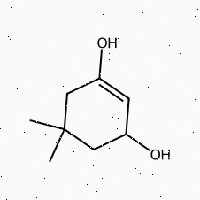 CC1(C)CC(O)=CC(O)C1